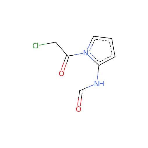 O=CNc1cccn1C(=O)CCl